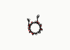 CC[C@@H]1NC(=O)[C@@H]2[C@@H]([C@H](C)CCCCN=[N+]=[N-])ON2C(=O)[C@H](C(C)C)N(C)C(=O)[C@H](CC(C)C)N(C)C(=O)[C@H](CC(C)C)N(C)C(=O)[C@@H](C)NC(=O)[C@H](C)NC(=O)[C@H](CC(C)C)N(C)C(=O)[C@H](C(C)C)NC(=O)[C@H]([C@@H](C)OCCCCN2CCOCC2)N(C)C(=O)[C@@H](C)N(C)C1=O